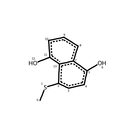 CSc1ccc(O)c2cccc(O)c12